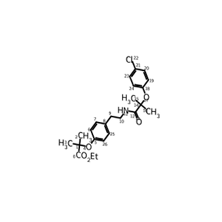 CCOC(=O)C(C)(C)Oc1ccc(CCNC(=O)C(C)(C)Oc2ccc(Cl)cc2)cc1